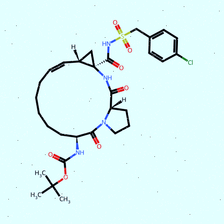 CC(C)(C)OC(=O)N[C@H]1CCCCC/C=C\[C@@H]2C[C@@]2(C(=O)NS(=O)(=O)Cc2ccc(Cl)cc2)NC(=O)[C@@H]2CCCN2C1=O